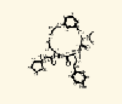 CN(C)[C@H]1Cc2cccc(c2)OCCCC[C@@H](C(=O)NC2CCCC2)NC(=O)[C@H](CCc2ccc(F)cc2)NC1=O